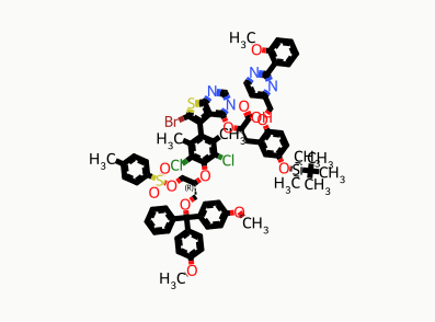 COc1ccc(C(OC[C@H](COS(=O)(=O)c2ccc(C)cc2)Oc2c(Cl)c(C)c(-c3c(Br)sc4ncnc(O[C@H](Cc5cc(O[Si](C)(C)C(C)(C)C)ccc5OCc5ccnc(-c6ccccc6OC)n5)C(=O)O)c34)c(C)c2Cl)(c2ccccc2)c2ccc(OC)cc2)cc1